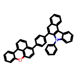 c1ccc(-n2c3ccccc3c3c4ccccc4cc(-c4ccc(-c5ccc6c7c(cccc57)-c5ccccc5O6)cc4)c32)cc1